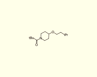 CC(C)CCOC1CCN(C(=O)C(C)(C)C)CC1